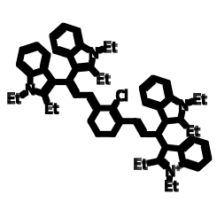 CCC1=[N+](CC)c2ccccc2C1C(/C=C/C1=C(Cl)C(=C/C=C(c2c(CC)n(CC)c3ccccc23)c2c(CC)n(CC)c3ccccc23)/CCC1)C1c2ccccc2N(CC)C1CC